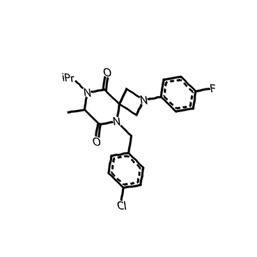 CC(C)N1C(=O)C2(CN(c3ccc(F)cc3)C2)N(Cc2ccc(Cl)cc2)C(=O)C1C